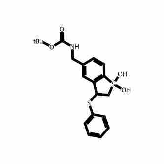 CC(C)(C)OC(=O)NCc1ccc2c(c1)C(Sc1ccccc1)CS2(O)O